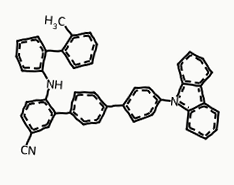 Cc1ccccc1-c1ccccc1Nc1ccc(C#N)cc1-c1ccc(-c2ccc(-n3c4ccccc4c4ccccc43)cc2)cc1